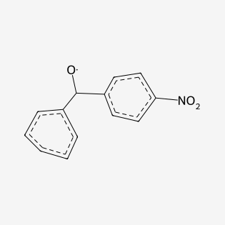 [O]C(c1ccccc1)c1ccc([N+](=O)[O-])cc1